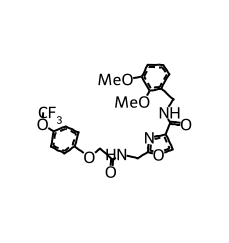 COc1cccc(CNC(=O)c2coc(CNC(=O)COc3ccc(OC(F)(F)F)cc3)n2)c1OC